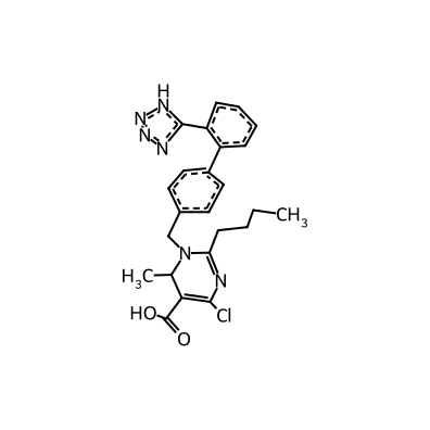 CCCCC1=NC(Cl)=C(C(=O)O)C(C)N1Cc1ccc(-c2ccccc2-c2nnn[nH]2)cc1